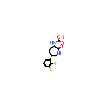 O=C(O)N[C@@H]1CC[C@@H](c2cccc(F)c2F)CNC1=O